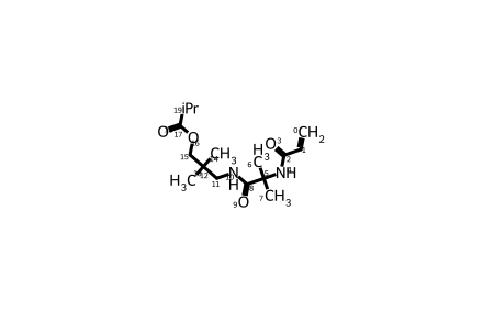 C=CC(=O)NC(C)(C)C(=O)NCC(C)(C)COC(=O)C(C)C